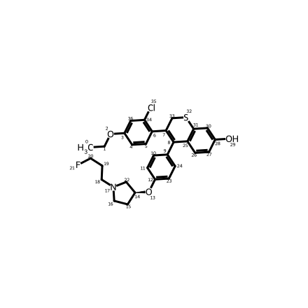 CCOc1ccc(C2=C(c3ccc(O[C@H]4CCN(CCCF)C4)cc3)c3ccc(O)cc3SC2)c(Cl)c1